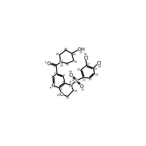 O=C(c1cnc2c(c1)N(S(=O)(=O)c1ccc(Cl)c(Cl)c1)CCO2)N1CCC(O)CC1